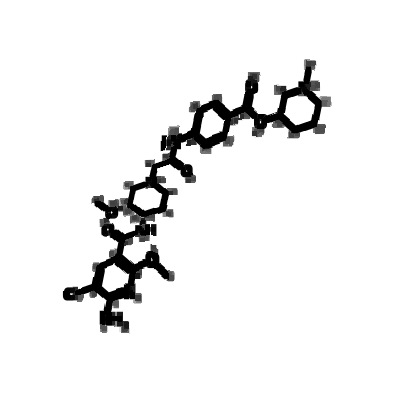 COc1nc(N)c(Cl)cc1C(=O)N[C@H]1CCN(CC(=O)Nc2ccc(C(=O)OC3CCCN(C)C3)cc2)C[C@H]1OC